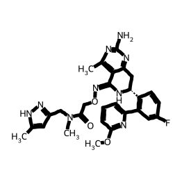 COc1cccc(-c2cc(F)ccc2[C@H]2Cc3nc(N)nc(C)c3/C(=N/OCC(=O)N(C)Cc3cc(C)[nH]n3)N2)n1